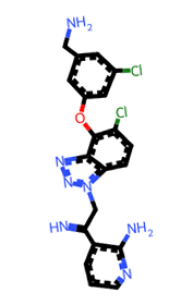 N=C(Cn1nnc2c(Oc3cc(Cl)cc(CN)c3)c(Cl)ccc21)c1cccnc1N